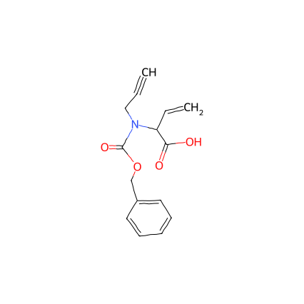 C#CCN(C(=O)OCc1ccccc1)C(C=C)C(=O)O